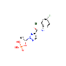 CC(OP(=O)(O)O)n1ncc(C(=O)Nc2ccc(Cl)cc2Cl)n1